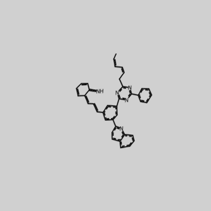 C/C=C\C=C/Cc1nc(-c2ccccc2)nc(-c2cc(/C=C/C=C3/C=CC=CC3=N)cc(-c3ccc4ccccc4n3)c2)n1